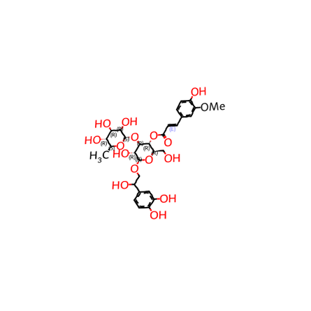 COc1cc(/C=C/C(=O)O[C@H]2[C@H](O[C@@H]3O[C@@H](C)[C@H](O)[C@@H](O)[C@H]3O)[C@@H](O)[C@H](OCC(O)c3ccc(O)c(O)c3)O[C@@H]2CO)ccc1O